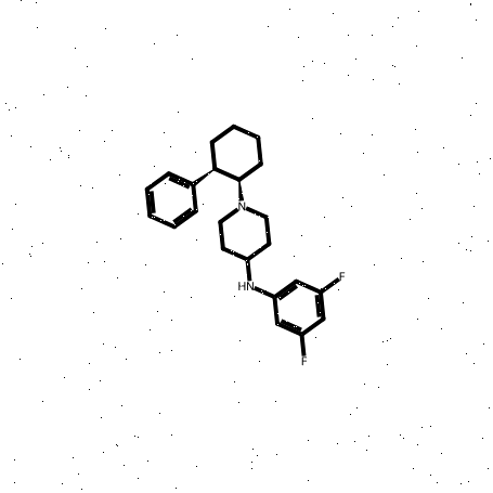 Fc1cc(F)cc(NC2CCN([C@@H]3CCCC[C@@H]3c3ccccc3)CC2)c1